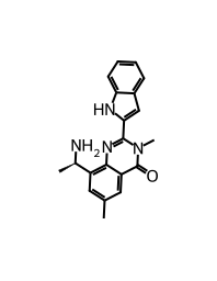 Cc1cc([C@@H](C)N)c2nc(-c3cc4ccccc4[nH]3)n(C)c(=O)c2c1